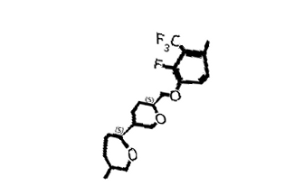 Cc1ccc(OC[C@@H]2CCC([C@@H]3CCC(C)CO3)CO2)c(F)c1C(F)(F)F